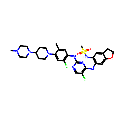 Cc1cc(Nc2ncc(Cl)c(Nc3cc4c(cc3NS(C)(=O)=O)CCO4)n2)c(Cl)cc1N1CCC(N2CCN(C)CC2)CC1